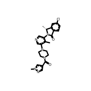 Cc1c(N2CCN(C(=O)c3cnn(C)c3)CC2)cncc1N1C(=O)c2ccc(Cl)cc2[C@H]1C